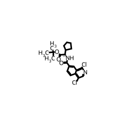 CC(C)(C)OC(=O)[C@@H](NC(=O)c1ccc2c(Cl)cnc(Cl)c2c1)C1CCCC1